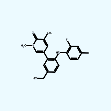 Cc1cc(-c2cc(CO)ccc2Nc2ccc(F)cc2F)cn(C)c1=O